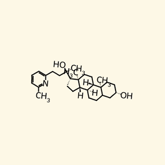 Cc1cccc(CC[C@@](C)(O)[C@H]2CC[C@H]3[C@@H]4CCC5C[C@@H](O)CC[C@]5(C)[C@H]4CC[C@@]32C)n1